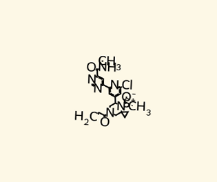 C=CC(=O)N1CC(c2cc(Cl)nc(-c3cc(C(=O)NC)ncn3)c2)N([S@@+](C)[O-])C2(CC2)C1